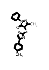 CC1=NN(c2ccccc2)C(=O)C1Sc1nc(-c2ccc(C)cc2)cs1